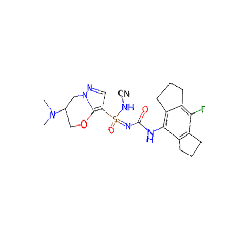 CN(C)C1COc2c(S(=O)(=NC(=O)Nc3c4c(c(F)c5c3CCC5)CCC4)NC#N)cnn2C1